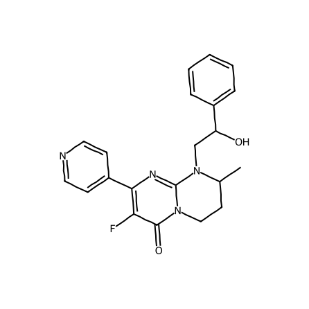 CC1CCn2c(nc(-c3ccncc3)c(F)c2=O)N1CC(O)c1ccccc1